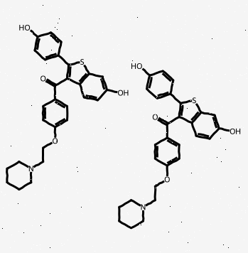 O=C(c1ccc(OCCN2CCCCC2)cc1)c1c(-c2ccc(O)cc2)sc2cc(O)ccc12.O=C(c1ccc(OCCN2CCCCC2)cc1)c1c(-c2ccc(O)cc2)sc2cc(O)ccc12